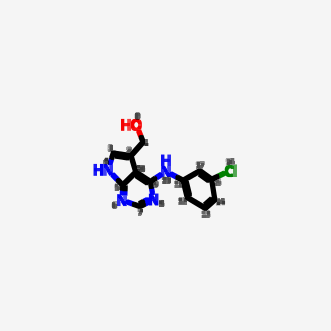 OCc1c[nH]c2ncnc(Nc3cccc(Cl)c3)c12